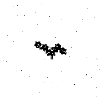 Fc1ccc(-c2ccnc3[nH]c(-c4n[nH]c5cnc(-c6cncc(CN7CCCCC7)c6)cc45)cc23)cc1